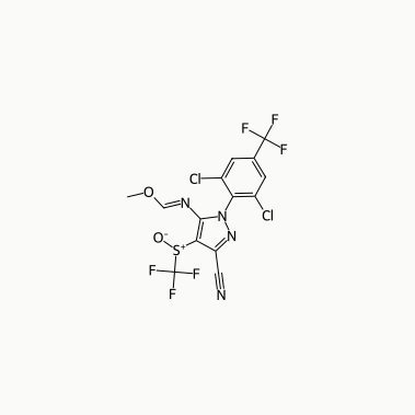 COC=Nc1c([S+]([O-])C(F)(F)F)c(C#N)nn1-c1c(Cl)cc(C(F)(F)F)cc1Cl